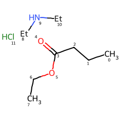 CCCC(=O)OCC.CCNCC.Cl